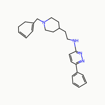 C1=CCCC(CN2CCC(CCNc3ccc(-c4ccccc4)nn3)CC2)=C1